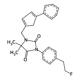 CC1(C)C(=O)N(c2ccc(CCF)cc2)C(=O)N1CC1=CC=C(c2ccccc2)C1